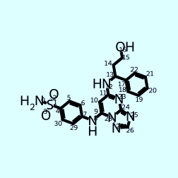 NS(=O)(=O)c1ccc(Nc2cc(NC(CCO)c3ccccc3)nc3ncnn23)cc1